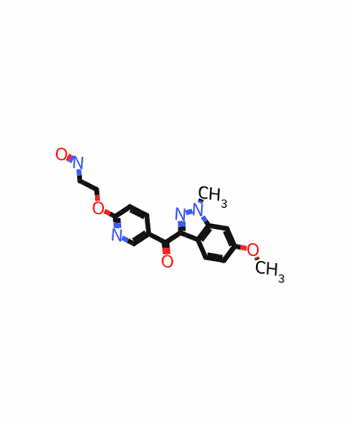 COc1ccc2c(C(=O)c3ccc(OCCN=O)nc3)nn(C)c2c1